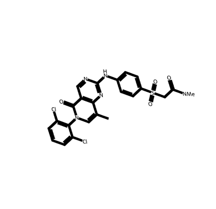 CNC(=O)CS(=O)(=O)c1ccc(Nc2ncc3c(=O)n(-c4c(Cl)cccc4Cl)cc(C)c3n2)cc1